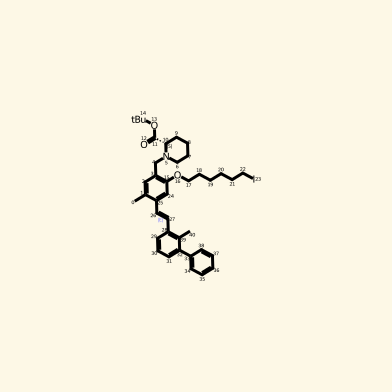 Cc1cc(CN2CCCC[C@H]2C(=O)OC(C)(C)C)c(OCCCCCCI)cc1/C=C/c1cccc(-c2ccccc2)c1C